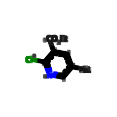 CCOC(=O)c1cc(CC)cnc1Cl